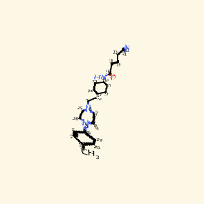 Cc1ccc(N2CCN(CC[C@H]3CC[C@H](NC(=O)CCCC#N)CC3)CC2)cc1